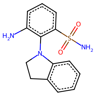 Nc1cccc(S(N)(=O)=O)c1N1CCc2ccccc21